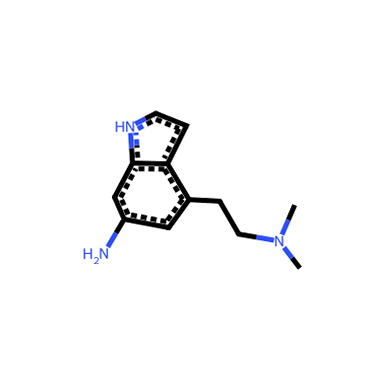 CN(C)CCc1cc(N)cc2[nH]ccc12